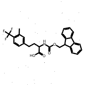 Cc1cc(CCC(NC(=O)OCC2c3ccccc3-c3ccccc32)C(=O)O)ccc1C(F)(F)F